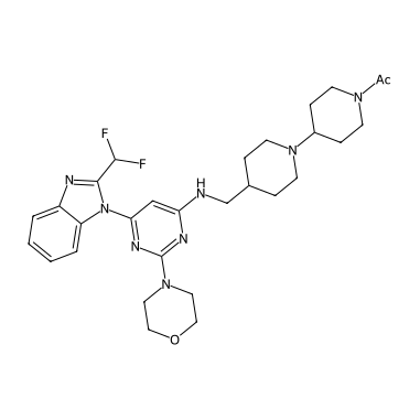 CC(=O)N1CCC(N2CCC(CNc3cc(-n4c(C(F)F)nc5ccccc54)nc(N4CCOCC4)n3)CC2)CC1